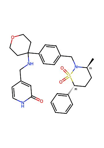 C[C@H]1CC[C@H](c2ccccc2)S(=O)(=O)N1Cc1ccc(C2(NCc3cc[nH]c(=O)c3)CCOCC2)cc1